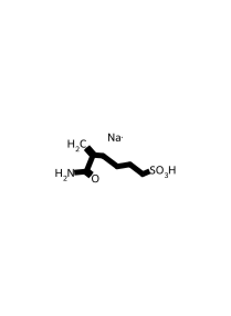 C=C(CCCCS(=O)(=O)O)C(N)=O.[Na]